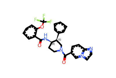 O=C(N[C@@H]1CCN(C(=O)c2ccc3nccn3c2)C[C@@H]1c1ccccc1)c1ccccc1OC(F)(F)F